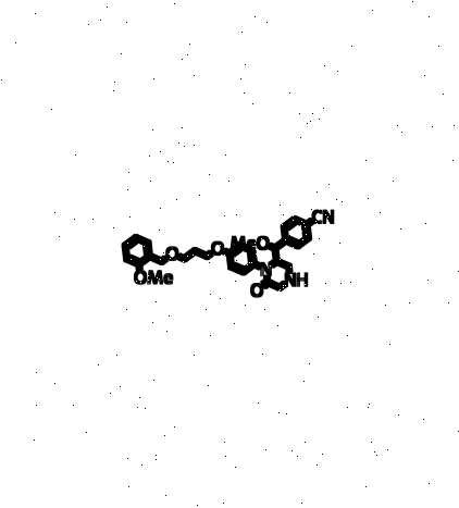 COc1ccccc1COCCCOc1ccc(N2C(=O)CNCC2C(OC)c2ccc(C#N)cc2)cc1